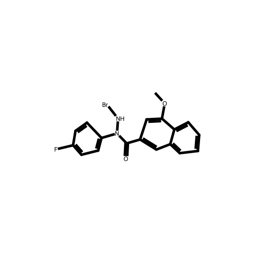 COc1cc(C(=O)N(NBr)c2ccc(F)cc2)cc2ccccc12